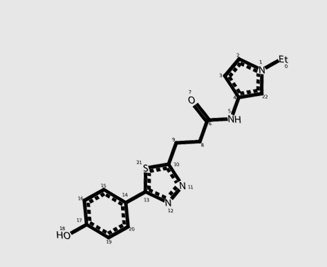 CCn1ccc(NC(=O)CCc2nnc(-c3ccc(O)cc3)s2)c1